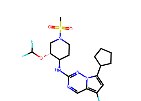 CS(=O)(=O)N1CC[C@@H](Nc2ncc3c(F)cc(C4CCCC4)n3n2)[C@H](OC(F)F)C1